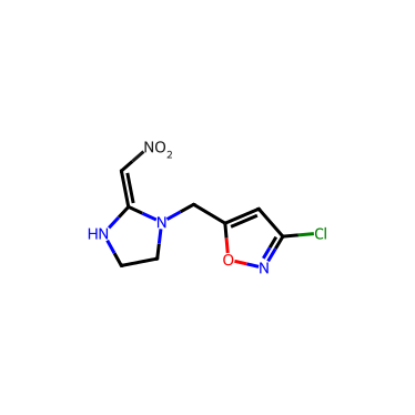 O=[N+]([O-])C=C1NCCN1Cc1cc(Cl)no1